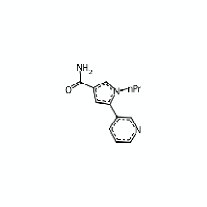 CCCn1cc(C(N)=O)cc1-c1cccnc1